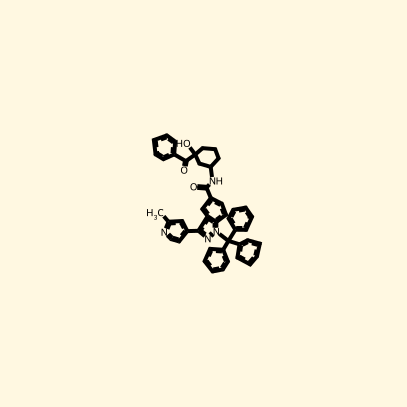 Cc1cc(-c2nn(C(c3ccccc3)(c3ccccc3)c3ccccc3)c3ccc(C(=O)NC4CCCC(O)(C(=O)c5ccccc5)C4)cc23)ccn1